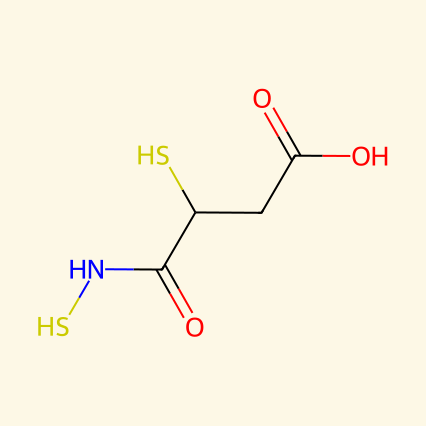 O=C(O)CC(S)C(=O)NS